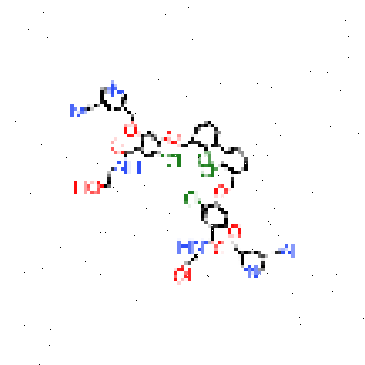 N#Cc1cncc(COc2cc(OCc3cccc(-c4cccc(COc5cc(OCc6cncc(C#N)c6)c(C(=O)NCCO)cc5Cl)c4Cl)c3Cl)c(Cl)cc2C(=O)NCCO)c1